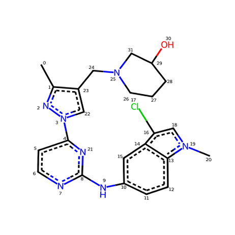 Cc1nn(-c2ccnc(Nc3ccc4c(c3)c(Cl)cn4C)n2)cc1CN1CCCC(O)C1